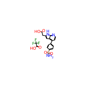 NS(=O)(=O)c1ccc(-c2ccnc3[nH]c(CC(=O)O)cc23)cc1.O=C(O)C(F)(F)F